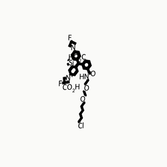 C[Si]1(C)C2=CC(=[N+]3CC(F)(C(=O)O)C3)C=CC2=C(c2cc(C(=O)NCCOCCOCCCCCCCl)ccc2C(=O)O)c2ccc(N3CC(F)C3)cc21